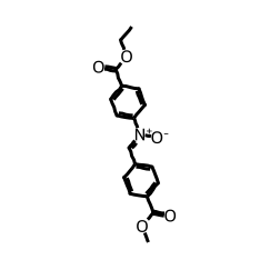 CCOC(=O)c1ccc([N+]([O-])=Cc2ccc(C(=O)OC)cc2)cc1